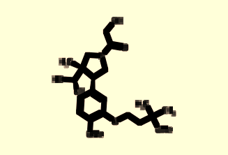 COc1ccc([C@@H]2CN(C(=O)CO)C[C@@]2(C)[C@@H](C)O)cc1OCCC(C)(C)OC